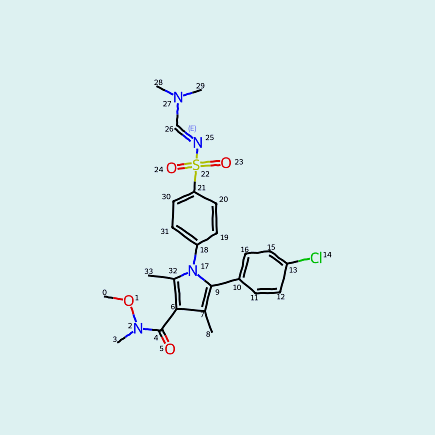 CON(C)C(=O)c1c(C)c(-c2ccc(Cl)cc2)n(-c2ccc(S(=O)(=O)/N=C/N(C)C)cc2)c1C